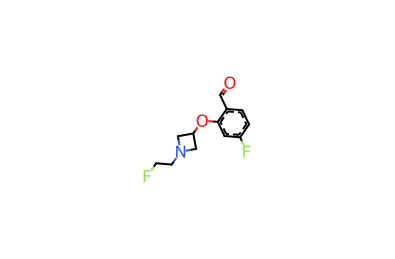 O=Cc1ccc(F)cc1OC1CN(CCF)C1